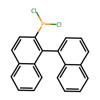 ClP(Cl)c1ccc2ccccc2c1-c1cccc2ccccc12